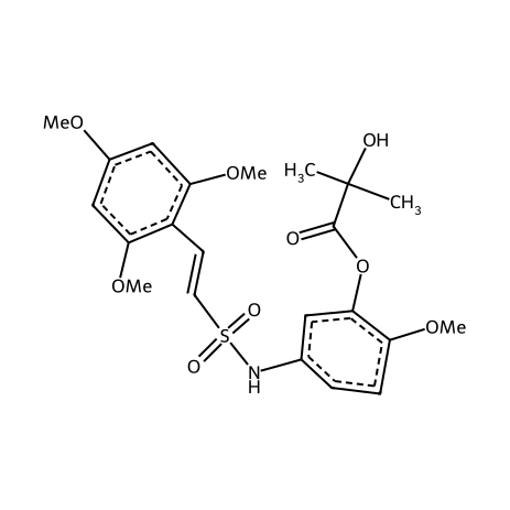 COc1cc(OC)c(/C=C/S(=O)(=O)Nc2ccc(OC)c(OC(=O)C(C)(C)O)c2)c(OC)c1